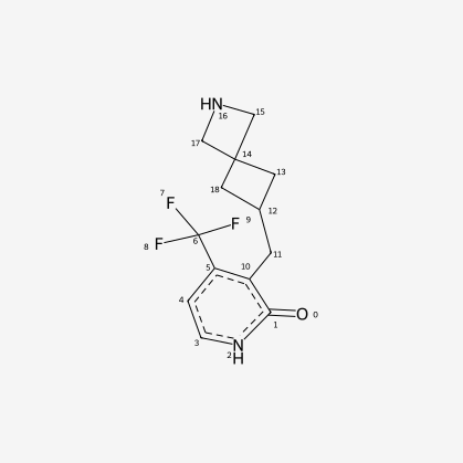 O=c1[nH]ccc(C(F)(F)F)c1CC1CC2(CNC2)C1